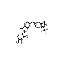 O=C1CCC(N2Cc3cc(CN4CCn5c(nnc5C(F)(F)F)C4)ccc3C2=S)C(=O)N1